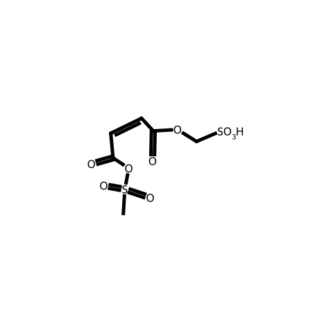 CS(=O)(=O)OC(=O)/C=C\C(=O)OCS(=O)(=O)O